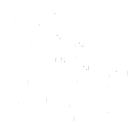 CC(=O)O.COc1cccc(OC)c1CNC(=N)Nc1cccc(-c2ccccc2)n1